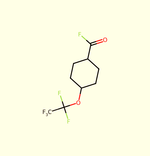 O=C(F)C1CCC(OC(F)(F)C(F)(F)F)CC1